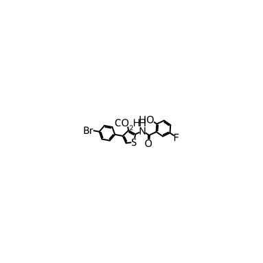 O=C(Nc1scc(-c2ccc(Br)cc2)c1C(=O)O)c1cc(F)ccc1O